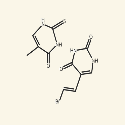 Cc1c[nH]c(=S)[nH]c1=O.O=c1[nH]cc(C=CBr)c(=O)[nH]1